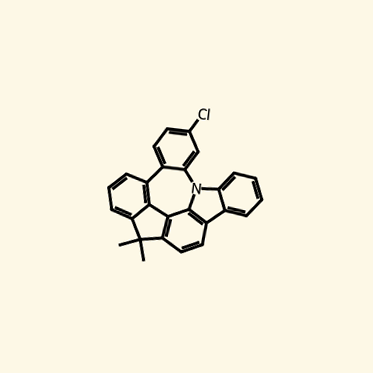 CC1(C)c2cccc3c2-c2c1ccc1c4ccccc4n(c21)-c1cc(Cl)ccc1-3